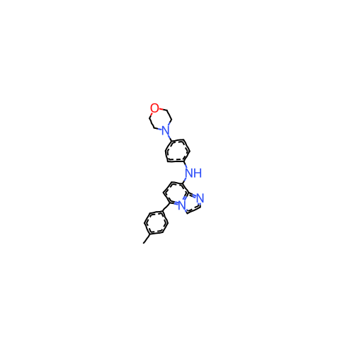 Cc1ccc(-c2ccc(Nc3ccc(N4CCOCC4)cc3)c3nccn23)cc1